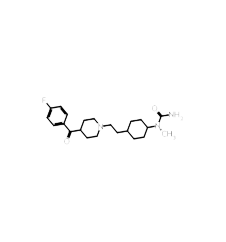 CN(C(N)=O)C1CCC(CCN2CCC(C(=O)c3ccc(F)cc3)CC2)CC1